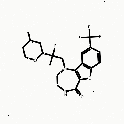 O=C1NCCN(CC(F)(F)C2CC(F)CCO2)c2c1oc1ccc(C(F)(F)F)cc21